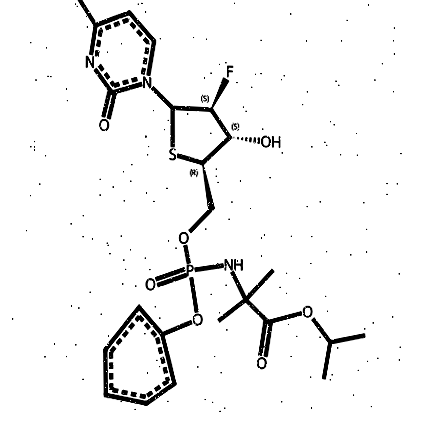 CC(C)OC(=O)C(C)(C)NP(=O)(OC[C@H]1SC(n2ccc(N)nc2=O)[C@@H](F)[C@@H]1O)Oc1ccccc1